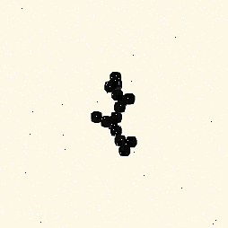 c1ccc(-c2ccc3c(c2)c2cc(-c4ccc(N(c5ccccc5)c5ccc(-c6cccc7c6oc6ccccc67)cc5)cc4)ccc2n3-c2ccc(-c3ccc4c5ccccc5c5ccccc5c4c3)cc2)cc1